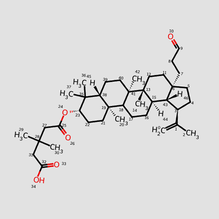 C=C(C)[C@@H]1CC[C@]2(CCC=O)CC[C@]3(C)[C@H](CCC4[C@@]5(C)CC[C@H](OC(=O)CC(C)(C)CC(=O)O)C(C)(C)[C@@H]5CC[C@]43C)[C@@H]12